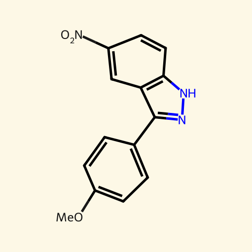 COc1ccc(-c2n[nH]c3ccc([N+](=O)[O-])cc23)cc1